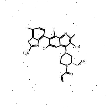 C=CC(=O)N1CCN(c2c(C#N)c(C)nc3c(F)c(-c4ccc(F)c5sc(N)nc45)c(Cl)cc23)C[C@@H]1CC#N